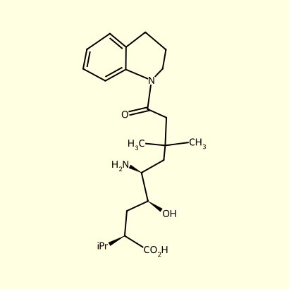 CC(C)[C@@H](C[C@H](O)[C@@H](N)CC(C)(C)CC(=O)N1CCCc2ccccc21)C(=O)O